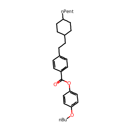 CCCCCC1CCC(CCc2ccc(C(=O)Oc3ccc(OCCCC)cc3)cc2)CC1